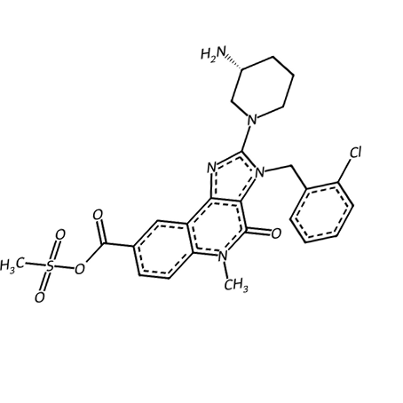 Cn1c(=O)c2c(nc(N3CCC[C@@H](N)C3)n2Cc2ccccc2Cl)c2cc(C(=O)OS(C)(=O)=O)ccc21